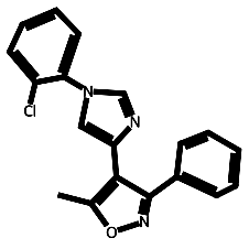 Cc1onc(-c2ccccc2)c1-c1cn(-c2ccccc2Cl)cn1